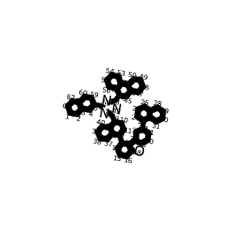 c1ccc2cc(-c3nc(-c4ccc(-c5cccc6oc7ccc(-c8cccc9ccccc89)cc7c56)c5ccccc45)nc(-c4cc5ccccc5c5ccccc45)n3)ccc2c1